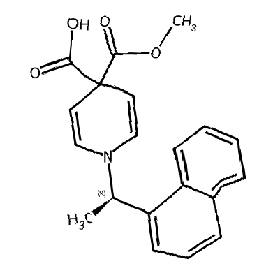 COC(=O)C1(C(=O)O)C=CN([C@H](C)c2cccc3ccccc23)C=C1